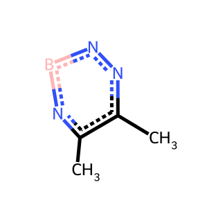 Cc1nbnnc1C